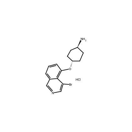 Cl.N[C@H]1CC[C@H](Oc2cccc3cncc(Br)c23)CC1